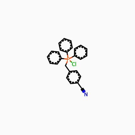 N#Cc1ccc(CP(Cl)(c2ccccc2)(c2ccccc2)c2ccccc2)cc1